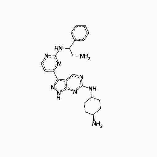 NCC(Nc1nccc(-c2n[nH]c3nc(N[C@H]4CC[C@H](N)CC4)ncc23)n1)c1ccccc1